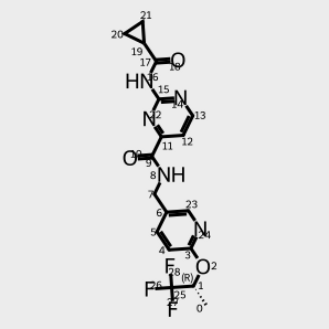 C[C@@H](Oc1ccc(CNC(=O)c2ccnc(NC(=O)C3CC3)n2)cn1)C(F)(F)F